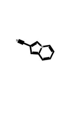 N#Cc1[c]c2ccccn2c1